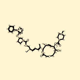 C/C(=C\C=C\[C@@H](C)COC(=O)N1CC[C@H](Oc2nnnn2-c2ccccc2)C1)[C@H]1OC(=O)CCCC[C@](C)(O)[C@H](OC(=O)N2CCN(C)CC2)/C=C/[C@@H]1C